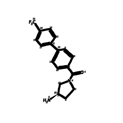 N[C@H]1CCN(C(=O)c2[c]cc(-c3ccc(C(F)(F)F)cc3)cc2)C1